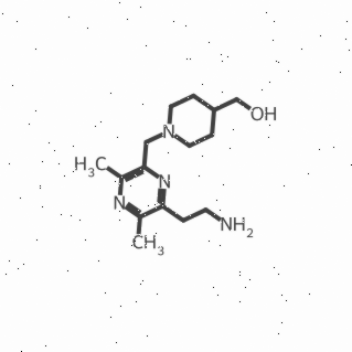 Cc1nc(C)c(CN2CCC(CO)CC2)nc1CCN